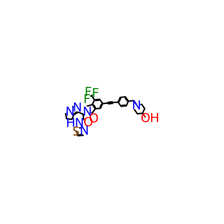 O=C(Nc1nccs1)[C@@H](c1ncn2c1CCC2)N1Cc2c(cc(C#Cc3ccc(CN4CCC(O)CC4)cc3)cc2C(F)(F)F)C1=O